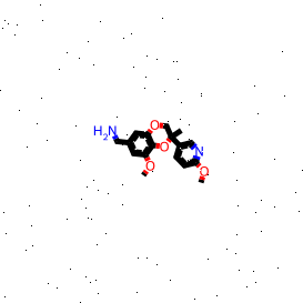 COc1ccc(C2(C)COc3cc(CN)cc(OC)c3O2)cn1